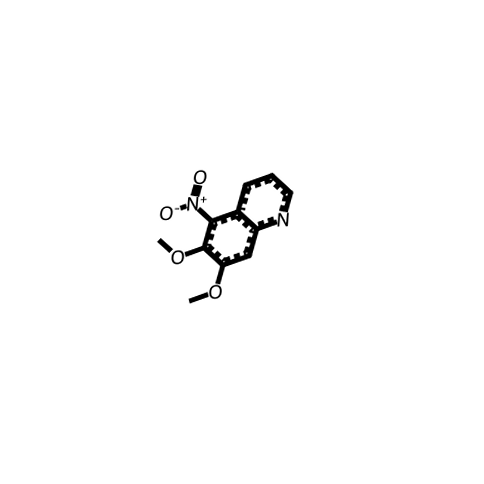 COc1cc2ncccc2c([N+](=O)[O-])c1OC